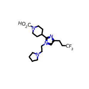 O=C(O)N1CCC(c2nc(CCC(F)(F)F)cn2CCN2CCCC2)CC1